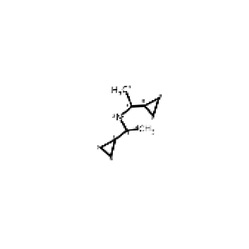 CC([N]C(C)C1CC1)C1CC1